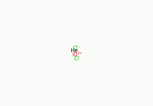 [Cl-].[Cl-].[He].[O+2]